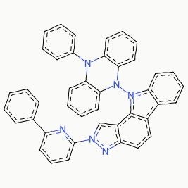 c1ccc(-c2cccc(-n3cc4c(ccc5c6ccccc6n(N6c7ccccc7N(c7ccccc7)c7ccccc76)c45)n3)n2)cc1